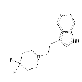 FC1(F)CCN(CCc2c[nH]c3ccccc23)CC1